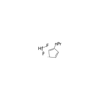 CCCC1=C[CH]C=C1.[F][Hf][F]